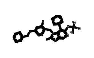 [2H]C([2H])([2H])Oc1ncc2nc(C)n(Cc3ncc(SCc4ccccc4)cc3F)c2c1-c1ccccc1